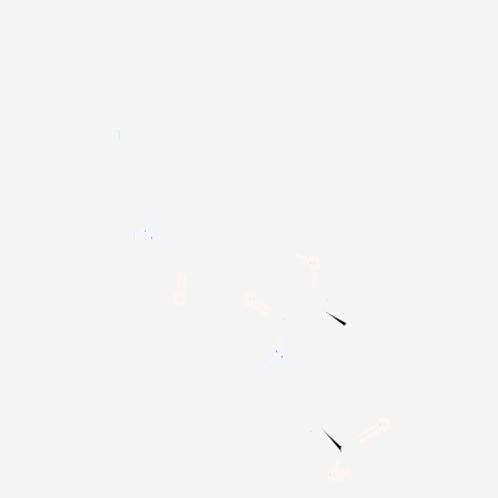 C[C@H](Oc1ccc2c(-c3ccc(F)cc3Cl)c[nH]c(=O)c2c1)C(=O)N1CCC[C@H](C(=O)O)C1